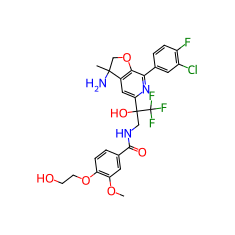 COc1cc(C(=O)NCC(O)(c2cc3c(c(-c4ccc(F)c(Cl)c4)n2)OCC3(C)N)C(F)(F)F)ccc1OCCO